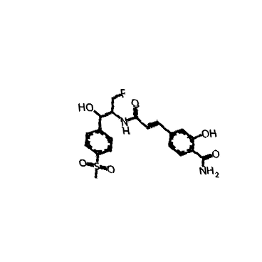 CS(=O)(=O)c1ccc(C(O)C(CF)NC(=O)/C=C/c2ccc(C(N)=O)c(O)c2)cc1